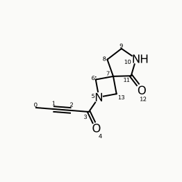 CC#CC(=O)N1[CH]C2(CCNC2=O)C1